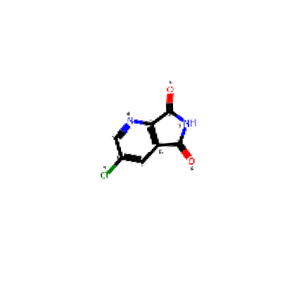 O=C1NC(=O)c2ncc(Cl)cc21